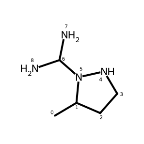 CC1CCNN1C(N)N